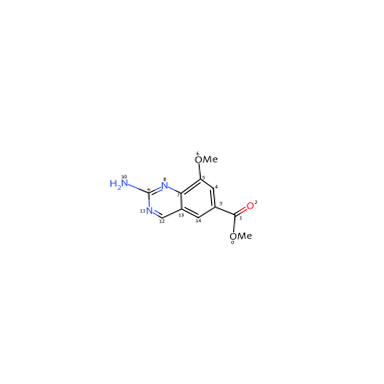 COC(=O)c1cc(OC)c2nc(N)ncc2c1